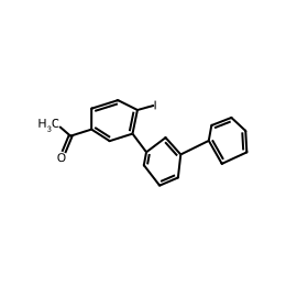 CC(=O)c1ccc(I)c(-c2cccc(-c3ccccc3)c2)c1